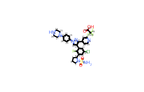 NS(=O)(=O)N1CCCC1c1cc(Cl)cc(-c2cn(-c3ccc(N4CCNCC4)cc3)nc2-c2ccncc2)c1F.O=C(O)C(F)(F)F